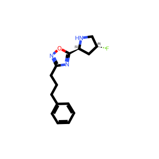 F[C@H]1CN[C@H](c2nc(CCCc3ccccc3)no2)C1